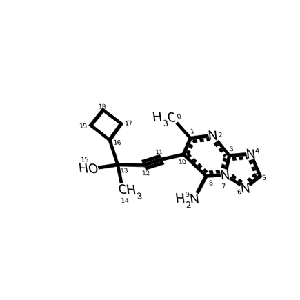 Cc1nc2ncnn2c(N)c1C#CC(C)(O)C1CCC1